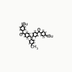 Cc1ccc(N(c2ccc(C(=O)c3ccc(C(C)(C)C)cc3)cc2)c2ccc(C(=O)c3ccc(C(C)(C)C)cc3)cc2)cc1